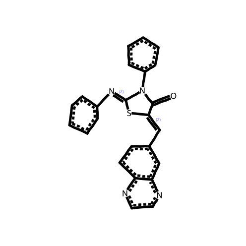 O=C1/C(=C/c2ccc3nccnc3c2)S/C(=N\c2ccccc2)N1c1ccccc1